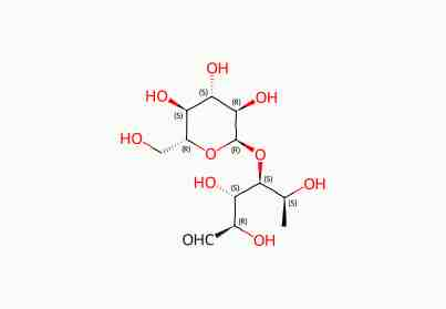 C[C@H](O)[C@H](O[C@H]1O[C@H](CO)[C@@H](O)[C@H](O)[C@H]1O)[C@@H](O)[C@@H](O)C=O